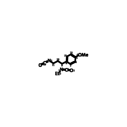 CCN=C=O.COc1ccc(CCCN=C=O)cc1